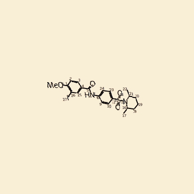 COc1ccc(C(=O)Nc2ccc(S(=O)(=O)N3C(C)CCCC3C)cc2)cc1I